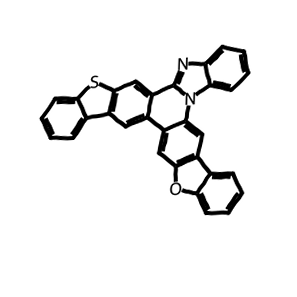 c1ccc2c(c1)nc1c3cc4sc5ccccc5c4cc3c3cc4oc5ccccc5c4cc3n21